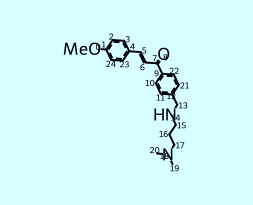 COc1ccc(C=CC(=O)c2ccc(CNCCCN(C)C)cc2)cc1